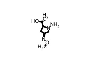 C=C(O)C1C/C(=N/OC)CN1N